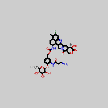 CC[C@@]1(O)C(=O)OCc2c1cc1n(c2=O)Cc2c-1nc1cc(F)c(C)c3c1c2[C@@H](NC(=O)OCc1ccc(O[C@@H]2OC(C(=O)O)[C@@H](O)C(O)C2O)c(NC(=O)CCN)c1)CC3